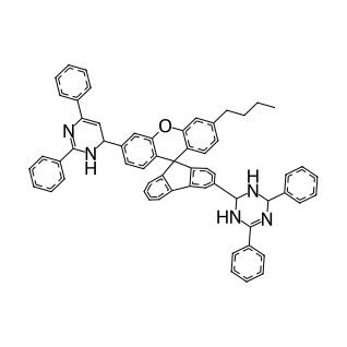 CCCCc1ccc2c(c1)Oc1cc(C3C=C(c4ccccc4)N=C(c4ccccc4)N3)ccc1C21c2ccccc2-c2cc(C3NC(c4ccccc4)=NC(c4ccccc4)N3)ccc21